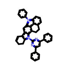 C1=Cc2c(n(-c3nc(-c4ccccc4)cc(-c4ccccc4)n3)c3c4c5c6c(cccc6n(-c6ccccc6)c5cc23)CC4)CC1